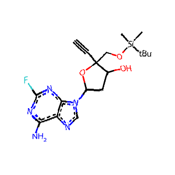 C#CC1(CO[Si](C)(C)C(C)(C)C)OC(n2cnc3c(N)nc(F)nc32)CC1O